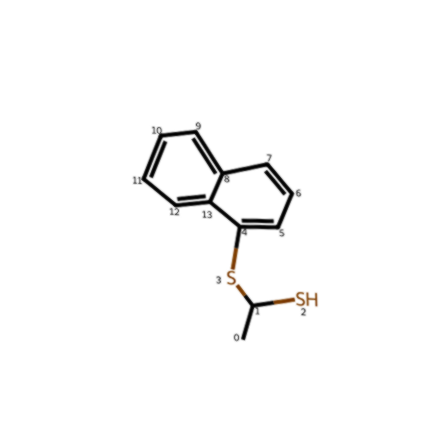 CC(S)Sc1cccc2ccccc12